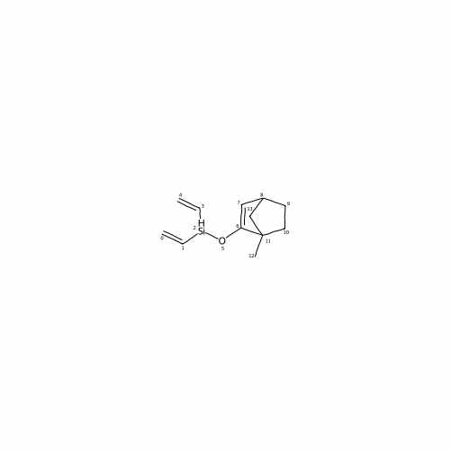 C=C[SiH](C=C)OC1=CC2CCC1(C)C2